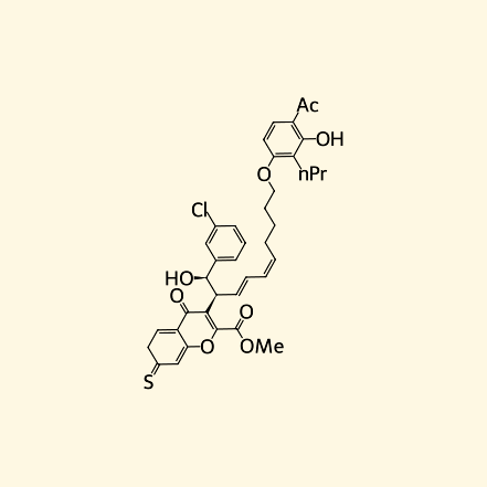 CCCc1c(OCCCC/C=C\C=C\[C@@H](c2c(C(=O)OC)oc3c(c2=O)=CCC(=S)C=3)[C@@H](O)c2cccc(Cl)c2)ccc(C(C)=O)c1O